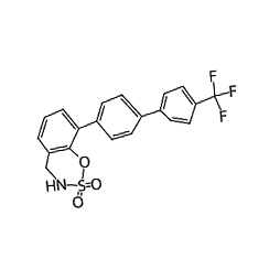 O=S1(=O)NCc2cccc(-c3ccc(-c4ccc(C(F)(F)F)cc4)cc3)c2O1